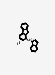 C1=C[CH]([Nb+2][c]2cccc3c2Cc2ccccc2-3)c2ccccc21.[I-].[I-]